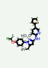 CC(C)Cc1cc(Nc2ncc(-c3cccs3)cc2C(=O)O)nn1-c1ccc(OC(F)F)cc1